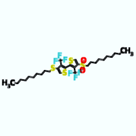 CCCCCCCCCCSc1csc(-c2scc(S(=O)(=O)CCCCCCCCCC)c2C(F)(F)F)c1C(F)(F)F